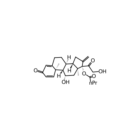 C=C1C[C@H]2[C@@H]3CCC4=CC(=O)C=C[C@]4(C)[C@H]3[C@@H](O)C[C@]2(C)[C@]1(OC(=O)CCC)C(=O)CO